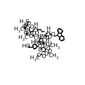 COC(=O)[C@H]1O[C@H](NC(=O)CCC[C@H](NC(=O)OCC2c3ccccc3-c3ccccc32)C(=O)NCCC(=O)Nc2cc(CO)ccc2O[C@@H]2O[C@H](C(=O)OC)[C@@H](OC(C)=O)[C@H](OC(C)=O)[C@H]2OC(C)=O)[C@H](OC(C)=O)[C@@H](OC(C)=O)[C@@H]1OC(C)=O